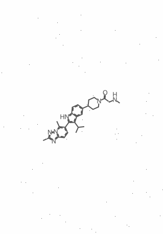 CNCC(=O)N1CCC(c2ccc3[nH]c(-c4ccc5nc(C)nn5c4C)c(C(C)C)c3c2)CC1